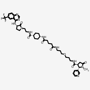 CN1C(=O)C[C@H](C(=O)NCCCOCCCNC(=O)CCCC(=O)N[C@H]2CC[C@@H](C(=O)NCCN3CC[C@H](Nc4ncnc5ccc(C(F)(F)F)cc45)C3=O)CC2)[C@H]1c1cccnc1